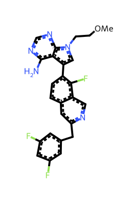 COCCn1cc(-c2ccc3cc(Cc4cc(F)cc(F)c4)ncc3c2F)c2c(N)ncnc21